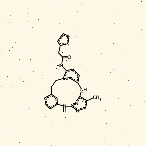 Cc1cnc2nc1Nc1ccc(NC(=O)Cc3cccs3)c(c1)CCc1cccc(c1)N2